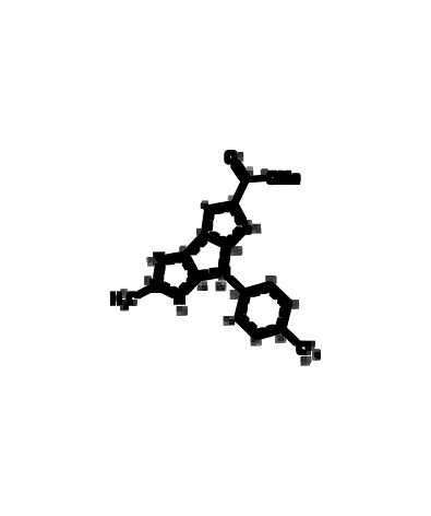 COC(=O)c1cc2c3nn(C)nc3n(-c3ccc(C(F)(F)F)cc3)c2s1